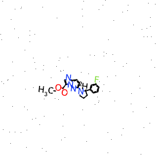 [2H]C1(c2cccc(F)c2)CCCN1c1ccc2ncc(C(=O)OCC)n2n1